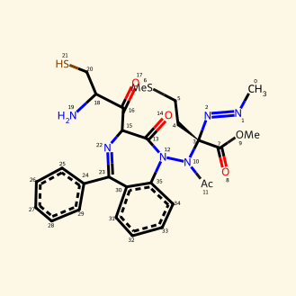 CN=N[C@](CCSC)(C(=O)OC)N(C(C)=O)N1C(=O)C(C(=O)C(N)CS)N=C(c2ccccc2)c2ccccc21